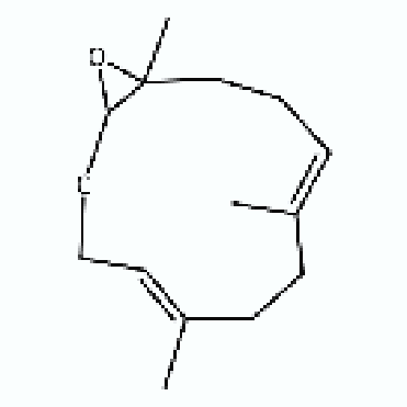 C/C1=C\CCC2OC2(C)CC/C=C(\C)CC1